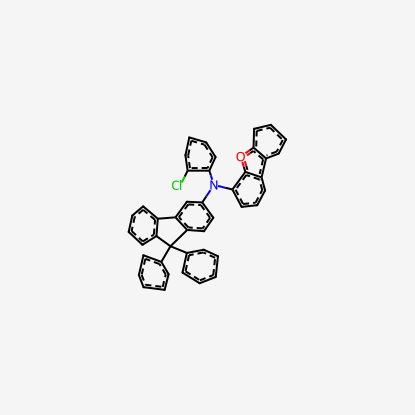 Clc1ccccc1N(c1ccc2c(c1)-c1ccccc1C2(c1ccccc1)c1ccccc1)c1cccc2c1oc1ccccc12